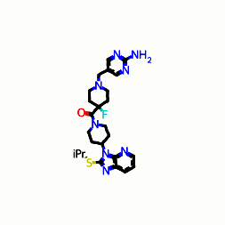 CC(C)Sc1nc2cccnc2n1C1CCN(C(=O)C2(F)CCN(Cc3cnc(N)nc3)CC2)CC1